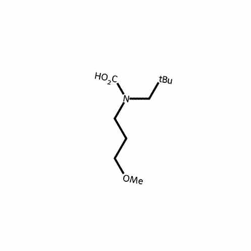 COCCCN(CC(C)(C)C)C(=O)O